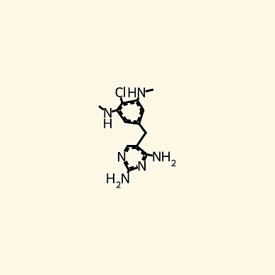 CNc1cc(Cc2cnc(N)nc2N)cc(NC)c1Cl